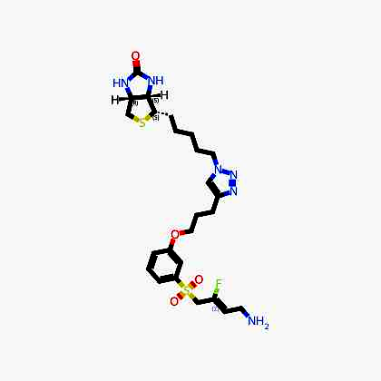 NC/C=C(\F)CS(=O)(=O)c1cccc(OCCCc2cn(CCCCC[C@@H]3SC[C@@H]4NC(=O)N[C@@H]43)nn2)c1